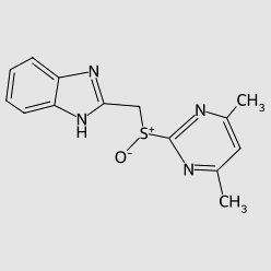 Cc1cc(C)nc([S+]([O-])Cc2nc3ccccc3[nH]2)n1